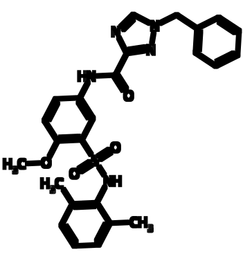 COc1ccc(NC(=O)c2ncn(Cc3ccccc3)n2)cc1S(=O)(=O)Nc1c(C)cccc1C